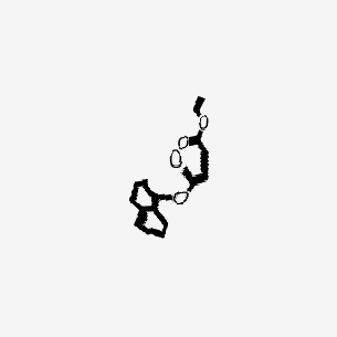 C=COC(=O)/C=C\C(=O)Oc1cccc2ccccc12